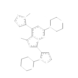 C[C@@H]1COCCN1c1cc(-c2ccnn2C)c2c(F)nc(-c3ccnn3C3CCCCO3)n2n1